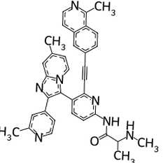 CNC(C)C(=O)Nc1ccc(-c2c(-c3ccnc(C)c3)nc3cc(C)ccn23)c(C#Cc2ccc3c(C)nccc3c2)n1